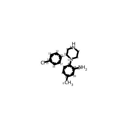 Cc1ccc(N2CCNC[C@H]2c2ccc(Cl)cc2)c(N)c1